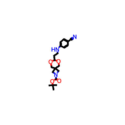 CC(C)(C)OC(=O)N1CC2(COC(CCNc3ccc(C#N)cc3)OC2)C1